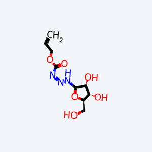 C=CCOC(=O)/N=N\NC1O[C@H](CO)[C@@H](O)[C@H]1O